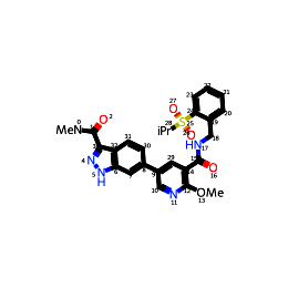 CNC(=O)c1n[nH]c2cc(-c3cnc(OC)c(C(=O)NCc4ccccc4S(=O)(=O)C(C)C)c3)ccc12